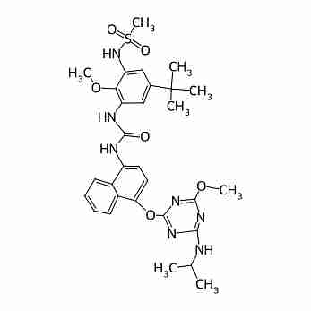 COc1nc(NC(C)C)nc(Oc2ccc(NC(=O)Nc3cc(C(C)(C)C)cc(NS(C)(=O)=O)c3OC)c3ccccc23)n1